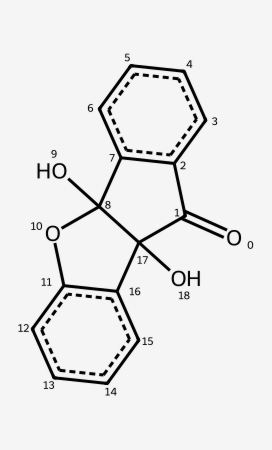 O=C1c2ccccc2C2(O)Oc3ccccc3C12O